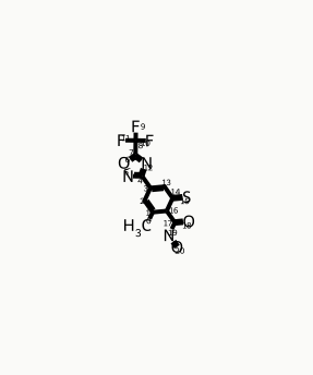 CC1=CC(c2noc(C(F)(F)F)n2)=CC(=S)C1C(=O)N=O